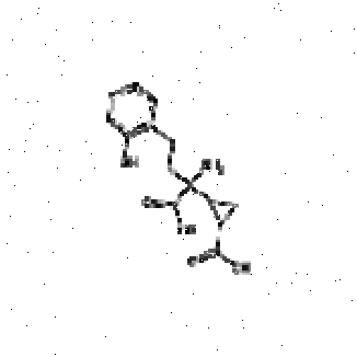 NC(CCc1ccccc1O)(C(=O)O)C1CC1C(=O)O